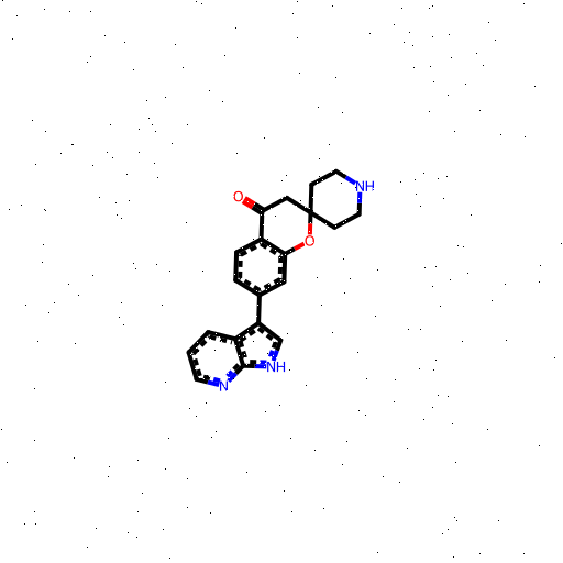 O=C1CC2(CCNCC2)Oc2cc(-c3c[nH]c4ncccc34)ccc21